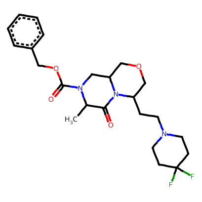 CC1C(=O)N2C(CCN3CCC(F)(F)CC3)COCC2CN1C(=O)OCc1ccccc1